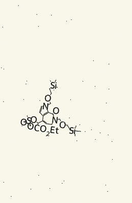 CCOC(=O)C(OS(C)(=O)=O)C1=CCN(COCC[Si](C)(C)C)C(=O)c2c1ccn2COCC[Si](C)(C)C